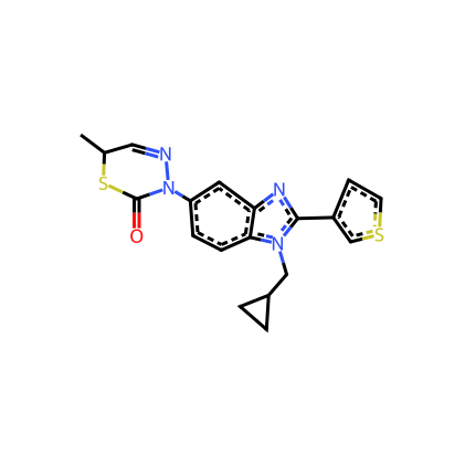 CC1C=NN(c2ccc3c(c2)nc(-c2ccsc2)n3CC2CC2)C(=O)S1